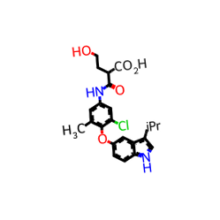 Cc1cc(NC(=O)C(CCO)C(=O)O)cc(Cl)c1Oc1ccc2[nH]cc(C(C)C)c2c1